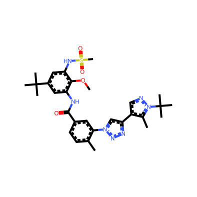 COc1c(NC(=O)c2ccc(C)c(-n3cc(-c4cnn(C(C)(C)C)c4C)nn3)c2)cc(C(C)(C)C)cc1NS(C)(=O)=O